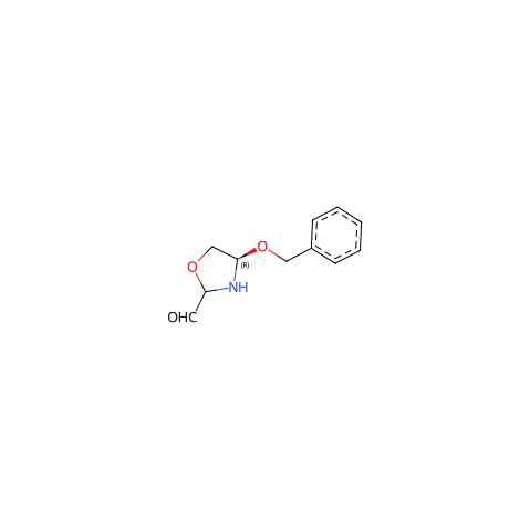 O=CC1N[C@H](OCc2ccccc2)CO1